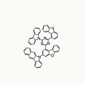 c1ccc2cc3c(cc2c1)c1ccccc1n3-c1cc(-c2nc(-c3cccc4sc5ccccc5c34)nc(-n3c4ccccc4c4ccccc43)n2)c2c(c1)oc1ccccc12